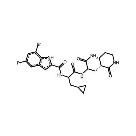 NC(=O)C(C[C@@H]1CCCNC1=O)NC(=O)C(CC1CC1)NC(=O)c1cc2cc(F)cc(Br)c2[nH]1